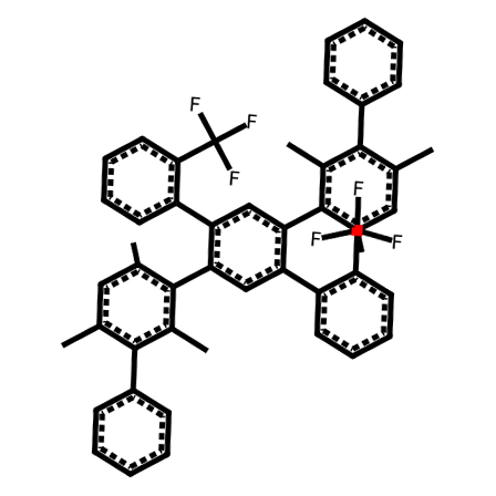 Cc1cc(C)c(-c2cc(-c3ccccc3C(F)(F)F)c(-c3c(C)cc(C)c(-c4ccccc4)c3C)cc2-c2ccccc2C(F)(F)F)c(C)c1-c1ccccc1